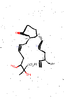 C=C[C@@H](C/C=C/[C@H]1CCC(=O)[C@@H]1C/C=C\CC(O)C(C)(O)C(=O)O)CCCC